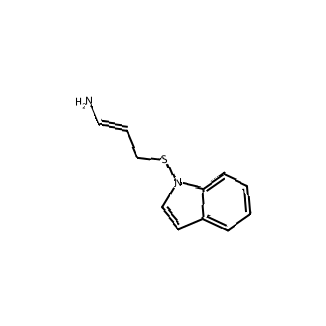 NC=CCSn1ccc2ccccc21